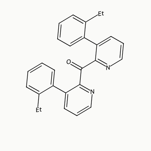 CCc1ccccc1-c1cccnc1C(=O)c1ncccc1-c1ccccc1CC